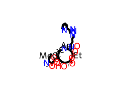 CC[C@H]1OC(=O)[C@H](C)C(=O)[C@@H](C)[C@@H](O[C@@H]2OC(C)CC(N(C)C)C2O)[C@](C)(OC)C[C@@H](C)CN(C(C)=O)[C@H](C)[C@H]2N(CCCCn3cc(-c4ccccn4)nn3)C(=O)O[C@]12C